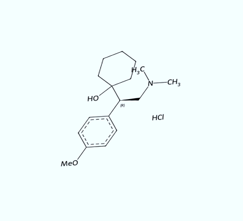 COc1ccc([C@H](CN(C)C)C2(O)CCCCC2)cc1.Cl